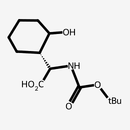 CC(C)(C)OC(=O)NC(C(=O)O)[C@@H]1CCCCC1O